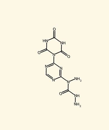 NNC(=O)N(N)c1ncnc(-n2c(=O)[nH]c(=O)[nH]c2=O)n1